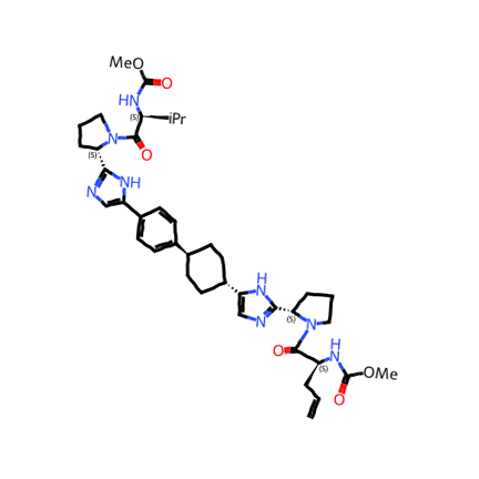 C=CC[C@H](NC(=O)OC)C(=O)N1CCC[C@H]1c1ncc([C@H]2CC[C@H](c3ccc(-c4cnc([C@@H]5CCCN5C(=O)[C@@H](NC(=O)OC)C(C)C)[nH]4)cc3)CC2)[nH]1